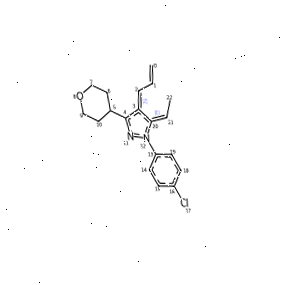 C=C/C=c1/c(C2CCOCC2)nn(-c2ccc(Cl)cc2)/c1=C/C